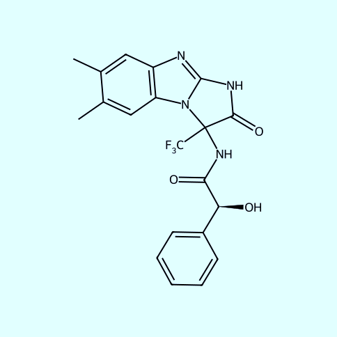 Cc1cc2nc3n(c2cc1C)C(NC(=O)[C@@H](O)c1ccccc1)(C(F)(F)F)C(=O)N3